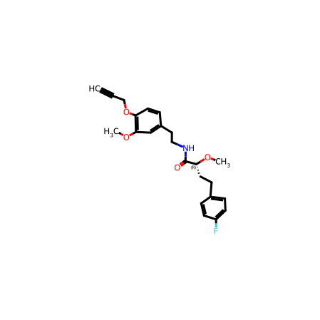 C#CCOc1ccc(CCNC(=O)[C@@H](CCc2ccc(F)cc2)OC)cc1OC